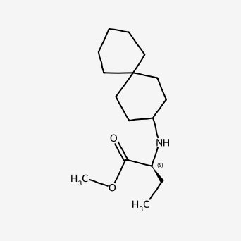 CC[C@H](NC1CCC2(CCCCC2)CC1)C(=O)OC